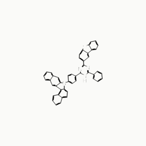 c1ccc(C2=NC(c3ccc4oc5ccccc5c4c3)=NC(c3ccc(-n4c5cc6ccccc6cc5c5c6ccccc6ccc54)cc3)N2)cc1